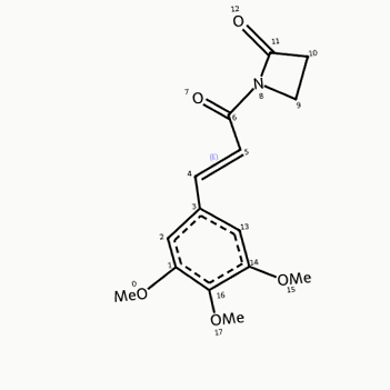 COc1cc(/C=C/C(=O)N2CCC2=O)cc(OC)c1OC